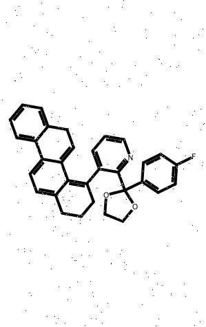 Fc1ccc(C2(c3ncccc3C3=c4c(ccc5c4=CCc4ccccc4-5)CCC3)OCCO2)cc1